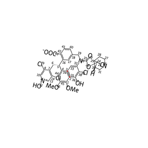 COc1ccc([C@H](Cc2c(Cl)c[n+](O)cc2Cl)c2cc(CN(C(=O)O[C@H]3CN4CCC3CC4)c3cccc(O)c3Cl)ccc2C(=O)[O-])cc1OC